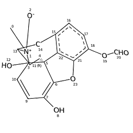 C[N+]1([O-])CC[C@]23C4=C(O)C=CC2(O)C1Cc1ccc(OC=O)c(c13)O4